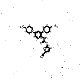 CC1CCN(c2cc(N3CCN(C)CC3)cnc2NC(=O)Oc2ccc(C#N)o2)CC1